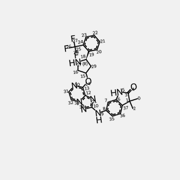 CC1(C)C(=O)Nc2cc(Nc3nc4c(OC5CN[C@@H](c6ccccc6C(F)(F)F)C5)nccn4n3)ccc21